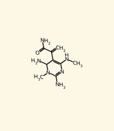 C=C(C(N)=O)C1=C(NC)N=C(N)N(C)C1N